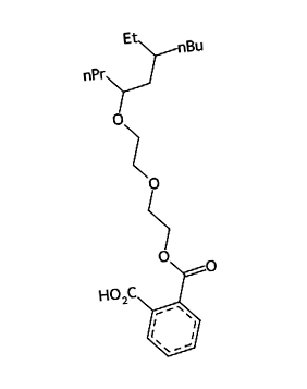 CCCCC(CC)CC(CCC)OCCOCCOC(=O)c1ccccc1C(=O)O